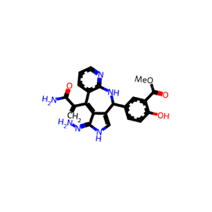 C=C(C(N)=O)C1=C2C(=CN/C2=N/N)C(c2ccc(O)c(C(=O)OC)c2)Nc2ncccc21